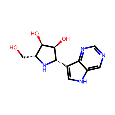 OC[C@H]1N[C@@H](c2c[nH]c3cncnc23)[C@H](O)[C@@H]1O